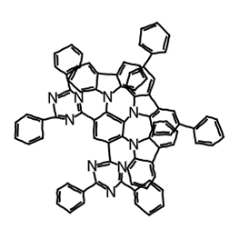 c1ccc(-c2ccc3c(c2)c2cc(-c4ccccc4)ccc2n3-c2c(-n3c4ccccc4c4ccccc43)c(-c3nc(-c4ccccc4)nc(-c4ccccc4)n3)cc(-c3nc(-c4ccccc4)nc(-c4ccccc4)n3)c2-n2c3ccccc3c3ccccc32)cc1